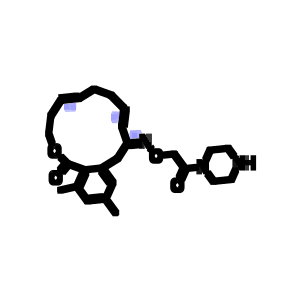 Cc1cc(C)c2c(c1)CC(=N\OCC(=O)N1CCNCC1)/C=C/CC/C=C/CCOC2=O